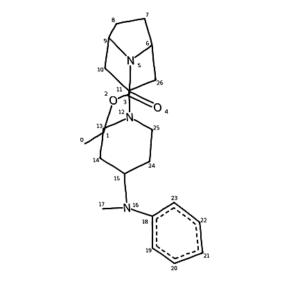 CCOC(=O)N1C2CCC1CC(N1CCC(N(C)c3ccccc3)CC1)C2